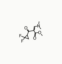 COC(=O)/C(=C\N(C)C)C(=O)C1CC1(F)F